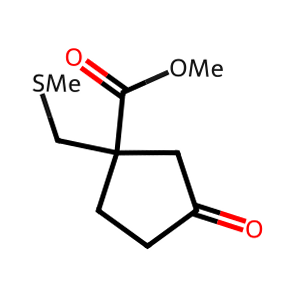 COC(=O)C1(CSC)CCC(=O)C1